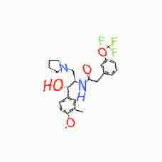 COc1ccc([C@H](O)[C@@H](CN2CCCC2)NC(=O)Cc2cccc(OC(F)(F)F)c2)cc1C